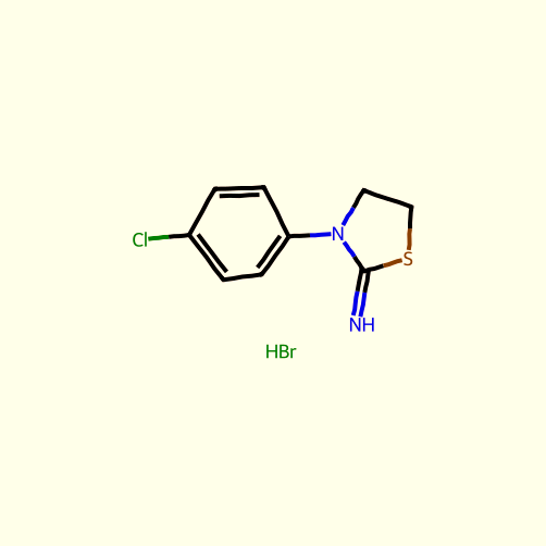 Br.N=C1SCCN1c1ccc(Cl)cc1